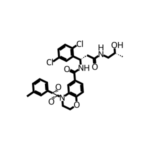 Cc1cccc(S(=O)(=O)N2CCOc3ccc(C(=O)N[C@@H](CC(=O)NC[C@@H](C)O)c4cc(Cl)ccc4Cl)cc32)c1